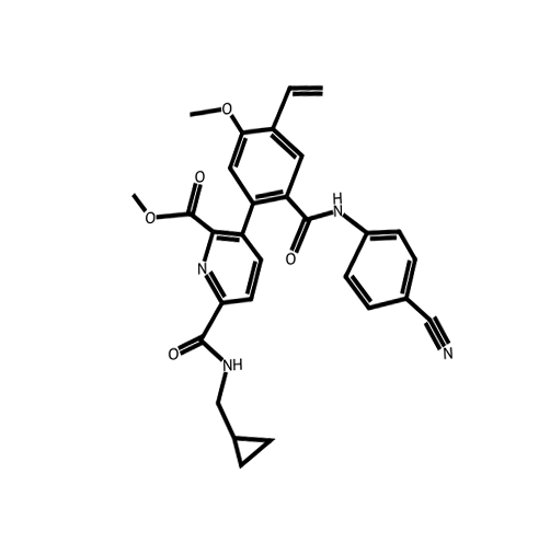 C=Cc1cc(C(=O)Nc2ccc(C#N)cc2)c(-c2ccc(C(=O)NCC3CC3)nc2C(=O)OC)cc1OC